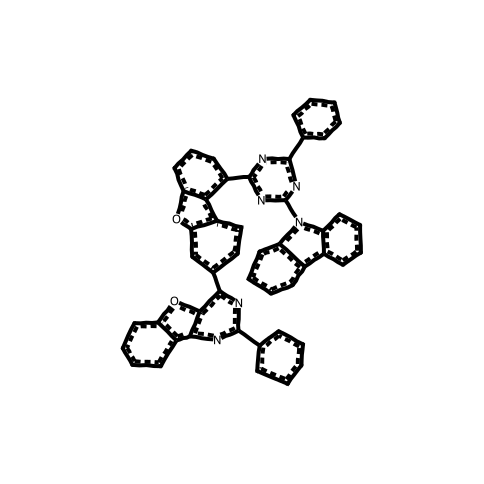 c1ccc(-c2nc(-c3cccc4oc5cc(-c6nc(-c7ccccc7)nc7c6oc6ccccc67)ccc5c34)nc(-n3c4ccccc4c4ccccc43)n2)cc1